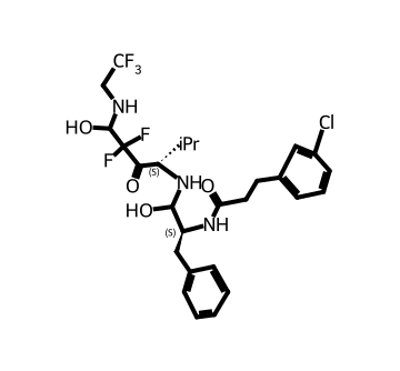 CC(C)[C@H](NC(O)[C@H](Cc1ccccc1)NC(=O)CCc1cccc(Cl)c1)C(=O)C(F)(F)C(O)NCC(F)(F)F